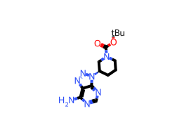 CC(C)(C)OC(=O)N1CCC[C@@H](n2nnc3c(N)ncnc32)C1